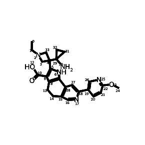 CCN1CC(c2[nH]c3c(c2C(=O)O)CCc2cnc(-c4ccc(OC)nc4)cc2-3)(C2(N)CC2)C1